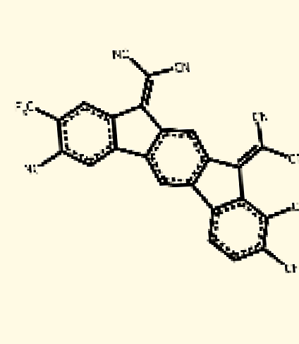 N#CC(C#N)=C1c2cc(C(F)(F)F)c(C#N)cc2-c2cc3c(cc21)C(=C(C#N)C#N)c1c-3ccc(C(F)(F)F)c1C#N